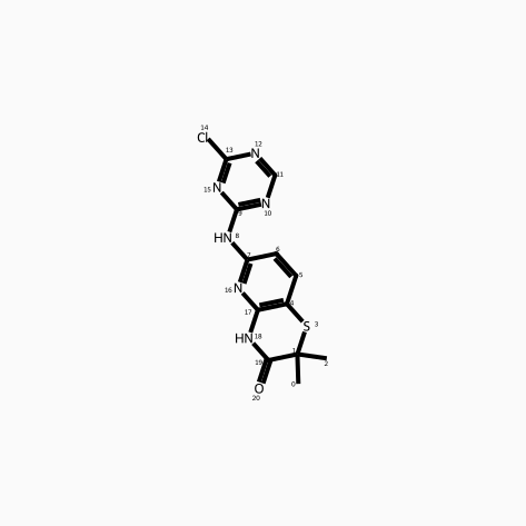 CC1(C)Sc2ccc(Nc3ncnc(Cl)n3)nc2NC1=O